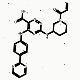 C=CC(=O)N1CCCC(Nc2nnc(C(N)=O)c(Nc3ccc(-c4ncccn4)cc3)n2)C1